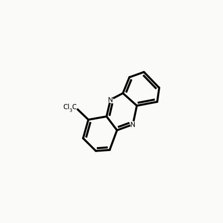 ClC(Cl)(Cl)c1cccc2nc3ccccc3nc12